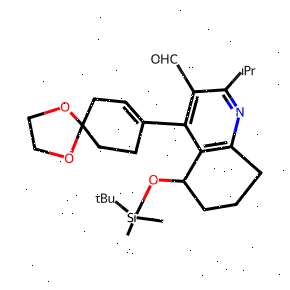 CC(C)c1nc2c(c(C3=CCC4(CC3)OCCO4)c1C=O)C(O[Si](C)(C)C(C)(C)C)CCC2